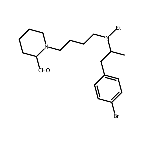 CCN(CCCCN1CCCCC1C=O)C(C)Cc1ccc(Br)cc1